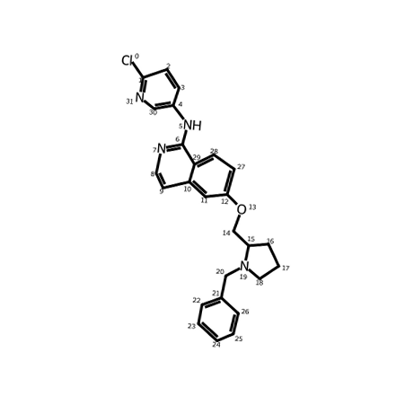 Clc1ccc(Nc2nccc3cc(OCC4CCCN4Cc4ccccc4)ccc23)cn1